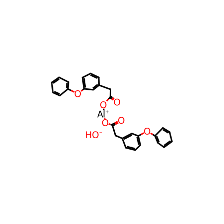 O=C(Cc1cccc(Oc2ccccc2)c1)[O][Al+][O]C(=O)Cc1cccc(Oc2ccccc2)c1.[OH-]